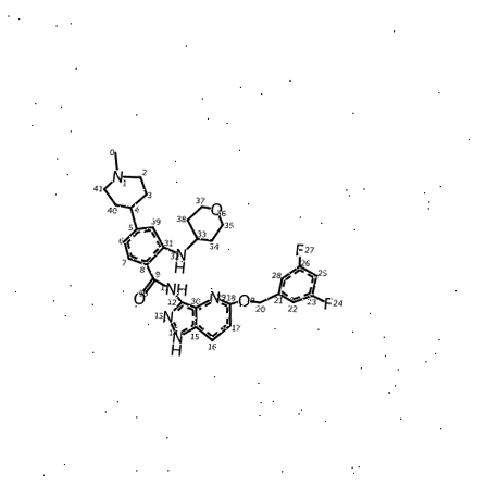 CN1CCC(c2ccc(C(=O)Nc3n[nH]c4ccc(OCc5cc(F)cc(F)c5)nc34)c(NC3CCOCC3)c2)CC1